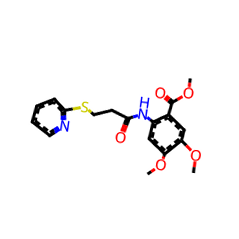 COC(=O)c1cc(OC)c(OC)cc1NC(=O)CCSc1ccccn1